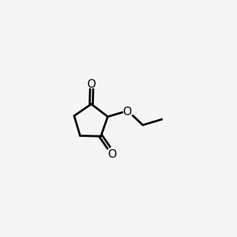 CCOC1C(=O)CCC1=O